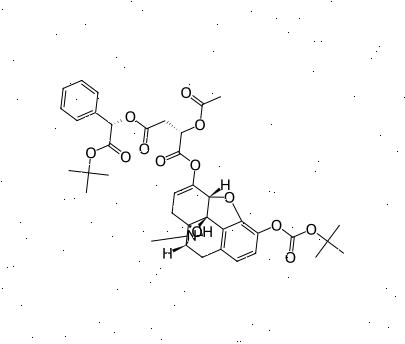 CC(=O)O[C@@H](CC(=O)O[C@H](C(=O)OC(C)(C)C)c1ccccc1)C(=O)OC1=CC[C@@]2(O)[C@H]3Cc4ccc(OC(=O)OC(C)(C)C)c5c4[C@@]2(CCN3C)[C@H]1O5